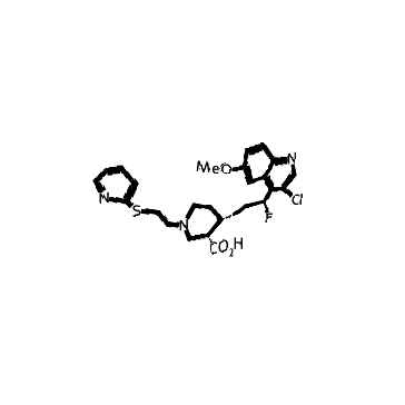 COc1ccc2ncc(Cl)c([C@@H](F)CC[C@H]3CCN(CCSc4ccccn4)C[C@H]3C(=O)O)c2c1